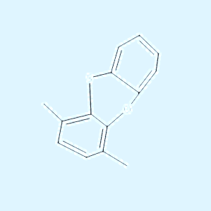 Cc1ccc(C)c2c1Oc1ccccc1S2